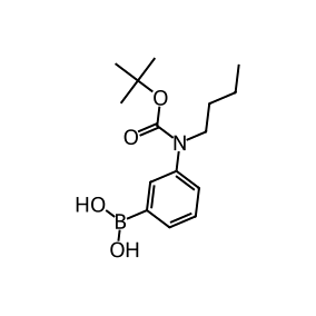 CCCCN(C(=O)OC(C)(C)C)c1cccc(B(O)O)c1